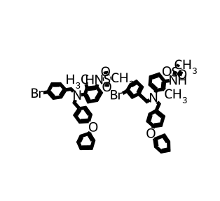 Cc1c(NS(C)(=O)=O)cccc1N(Cc1ccc(Br)cc1)Cc1ccc(Oc2ccccc2)cc1.Cc1c(NS(C)(=O)=O)cccc1N(Cc1ccc(Oc2ccccc2)cc1)Cc1cccc(Br)c1